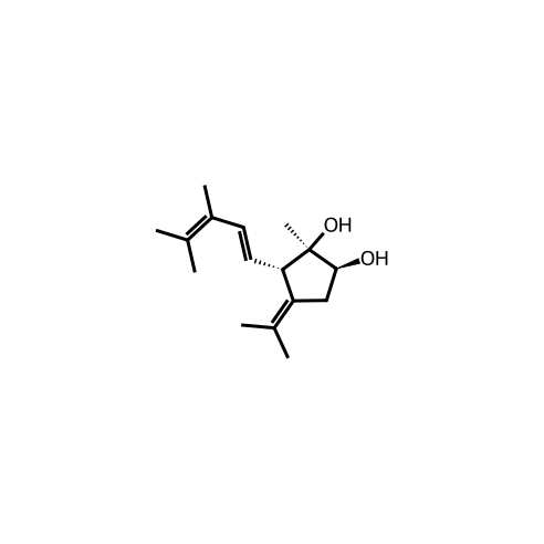 CC(C)=C(C)/C=C/[C@H]1C(=C(C)C)C[C@H](O)[C@]1(C)O